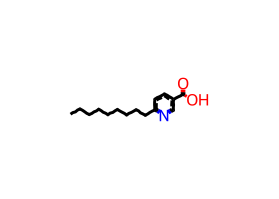 CCCCCCCCCc1ccc(C(=O)O)cn1